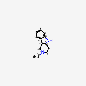 CC[C@H](C)N1CCC2Nc3ccccc3C2C1